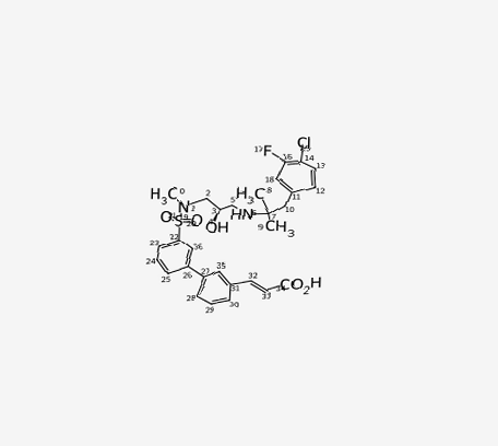 CN(C[C@H](O)CNC(C)(C)Cc1ccc(Cl)c(F)c1)S(=O)(=O)c1cccc(-c2cccc(/C=C/C(=O)O)c2)c1